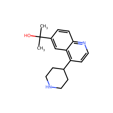 CC(C)(O)c1ccc2nccc(C3CCNCC3)c2c1